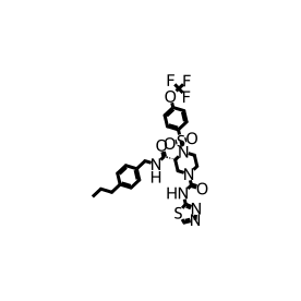 CCCc1ccc(CNC(=O)[C@H]2CN(C(=O)Nc3nncs3)CCN2S(=O)(=O)c2ccc(OC(F)(F)F)cc2)cc1